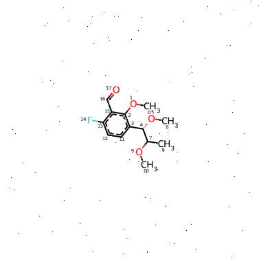 COc1c([C@H](OC)C(C)OC)ccc(F)c1C=O